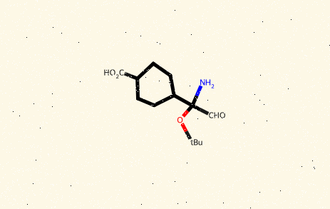 CC(C)(C)OC(N)(C=O)C1CCC(C(=O)O)CC1